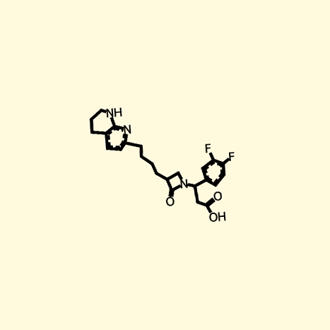 O=C(O)CC(c1ccc(F)c(F)c1)N1CC(CCCCc2ccc3c(n2)NCCC3)C1=O